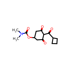 CN(C)C(=O)OC1CC(=O)C(C(=O)C2CCC2)C(=O)C1